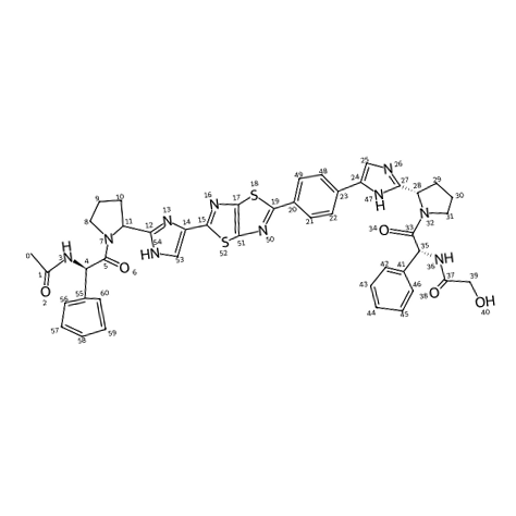 CC(=O)N[C@@H](C(=O)N1CCCC1c1nc(-c2nc3sc(-c4ccc(-c5cnc([C@@H]6CCCN6C(=O)[C@H](NC(=O)CO)c6ccccc6)[nH]5)cc4)nc3s2)c[nH]1)c1ccccc1